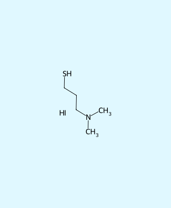 CN(C)CCCS.I